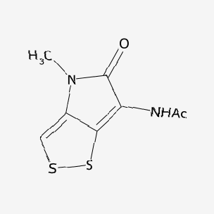 CC(=O)Nc1c2sscc-2n(C)c1=O